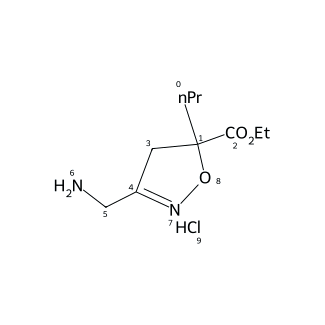 CCCC1(C(=O)OCC)CC(CN)=NO1.Cl